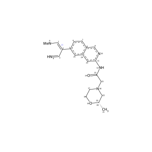 CN/C=C(\C=N)c1ccc2cnc(NC(=O)CN3CCO[C@@H](C)C3)cc2c1